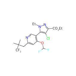 CCOC(=O)c1nn(CC)c(-c2cnc(CC(C)(C)C(F)(F)F)cc2OC(F)F)c1Cl